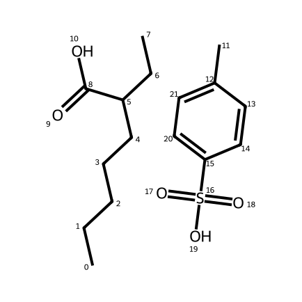 CCCCCC(CC)C(=O)O.Cc1ccc(S(=O)(=O)O)cc1